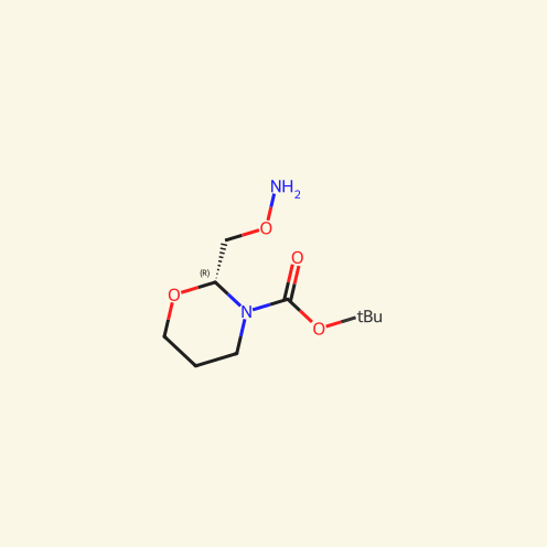 CC(C)(C)OC(=O)N1CCCO[C@@H]1CON